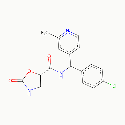 O=C1NC[C@@H](C(=O)NC(c2ccc(Cl)cc2)c2ccnc(C(F)(F)F)c2)O1